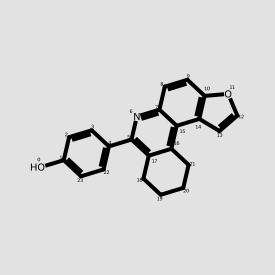 Oc1ccc(-c2nc3ccc4occc4c3c3c2CCCC3)cc1